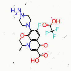 C[C@H]1COc2c(N3CCN(N)CC3)c(F)cc3c(=O)c(C(=O)O)cn1c23.O=C(O)C(F)(F)F